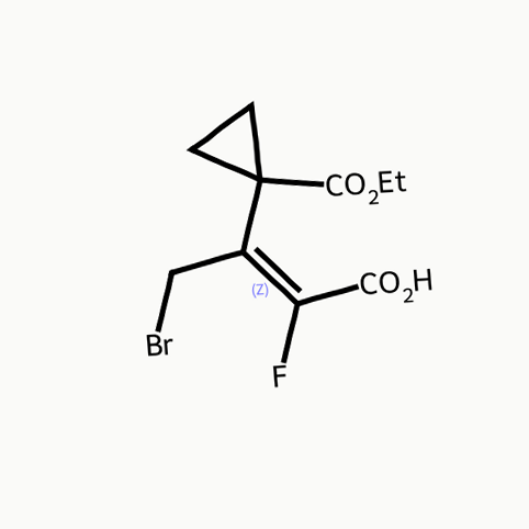 CCOC(=O)C1(/C(CBr)=C(/F)C(=O)O)CC1